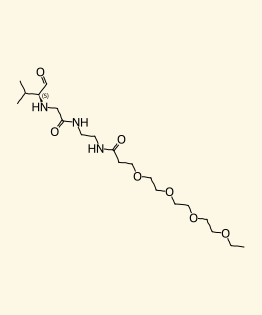 CCOCCOCCOCCOCCC(=O)NCCNC(=O)CN[C@H](C=O)C(C)C